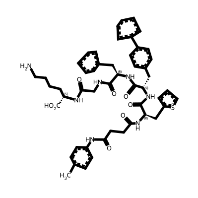 Cc1ccc(NC(=O)CCC(=O)N[C@H](Cc2cccs2)C(=O)N[C@@H](Cc2ccc(-c3ccccc3)cc2)C(=O)N[C@H](Cc2ccccc2)C(=O)NCC(=O)N[C@@H](CCCCN)C(=O)O)cc1